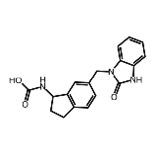 O=C(O)NC1CCc2ccc(Cn3c(=O)[nH]c4ccccc43)cc21